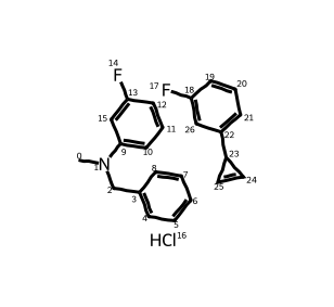 CN(Cc1ccccc1)c1cccc(F)c1.Cl.Fc1cccc(C2C=C2)c1